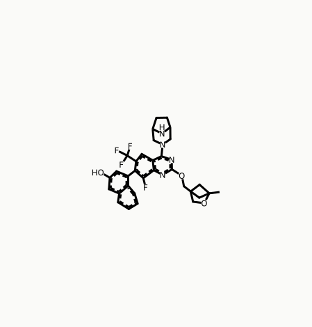 CC12CC(COc3nc(N4CC5CCC(C4)N5)c4cc(C(F)(F)F)c(-c5cc(O)cc6ccccc56)c(F)c4n3)(CO1)C2